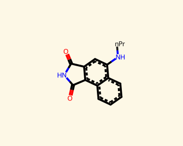 CCCNc1cc2c(c3ccccc13)C(=O)NC2=O